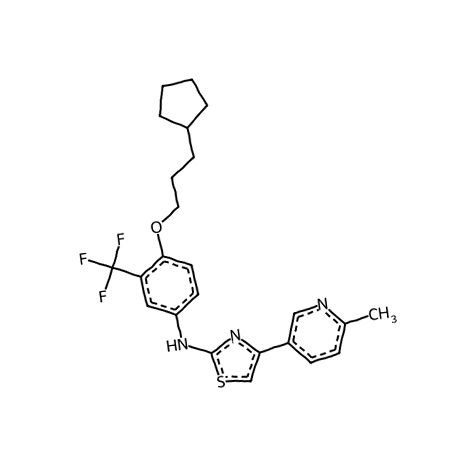 Cc1ccc(-c2csc(Nc3ccc(OCCCC4CCCC4)c(C(F)(F)F)c3)n2)cn1